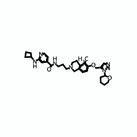 Cc1c(OCc2cnnn2C2CCCCO2)ccc2c1CCN(CCCNC(=O)c1ccnc(NC3CCC3)c1)C2